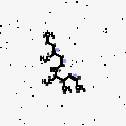 C=C/C=C(C)/C=C\NC(C)C(C)/C=C\C